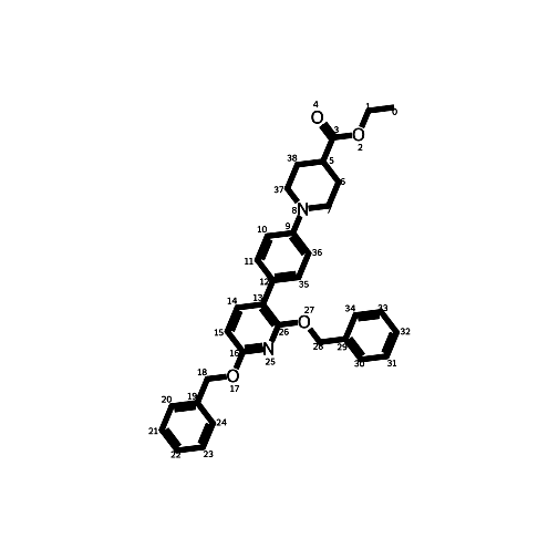 CCOC(=O)C1CCN(c2ccc(-c3ccc(OCc4ccccc4)nc3OCc3ccccc3)cc2)CC1